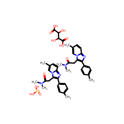 Cc1ccc(-c2nc3ccc(C)cn3c2CC(=O)N(C)C)cc1.Cc1ccc(-c2nc3ccc(C)cn3c2CC(=O)N(C)C)cc1.O=C(O)C(O)C(O)C(=O)O.O=[PH](O)O